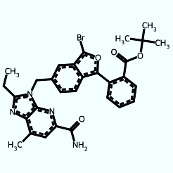 CCc1nc2c(C)cc(C(N)=O)nc2n1Cc1ccc2c(-c3ccccc3C(=O)OC(C)(C)C)oc(Br)c2c1